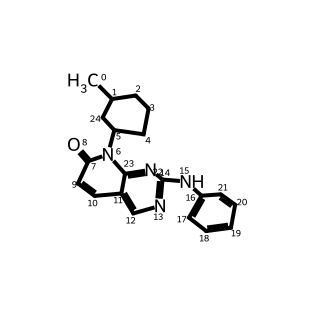 CC1CCCC(n2c(=O)ccc3cnc(Nc4ccccc4)nc32)C1